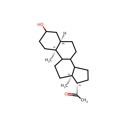 CC(=O)[C@H]1CCC2C3CC[C@@H]4CC(O)CC[C@]4(C)C3CC[C@@]21C